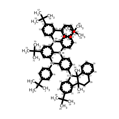 CC(C)(C)c1ccc(N2c3cc(N4c5ccc(C(C)(C)C)cc5C5(C)CCc6ccccc6C45C)ccc3B3c4ccc(C(C)(C)C)cc4N(c4ccc(C(C)(C)C)cc4-c4ccccc4)c4cc(C(C)(C)C)cc2c43)cc1